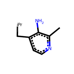 Cc1nccc(CC(C)C)c1N